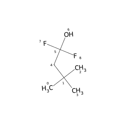 CC(C)(C)CC(O)(F)F